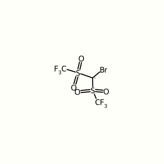 O=S(=O)([C](Br)S(=O)(=O)C(F)(F)F)C(F)(F)F